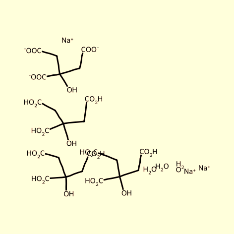 O.O.O.O=C(O)CC(O)(CC(=O)O)C(=O)O.O=C(O)CC(O)(CC(=O)O)C(=O)O.O=C(O)CC(O)(CC(=O)O)C(=O)O.O=C([O-])CC(O)(CC(=O)[O-])C(=O)[O-].[Na+].[Na+].[Na+]